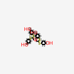 Oc1ccc(SC(COCC(Sc2ccc(O)cc2)Sc2ccc(O)cc2)Sc2ccc(O)cc2)cc1